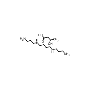 CC(O)CC(=O)O.NCCCNCCCCNCCCN